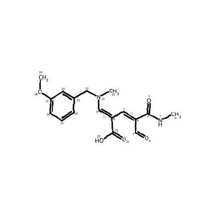 CNC(=O)/C(C=O)=C/C(=C\N(C)Cc1cccc(OC)c1)C(=O)O